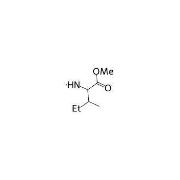 CCC(C)C([NH])C(=O)OC